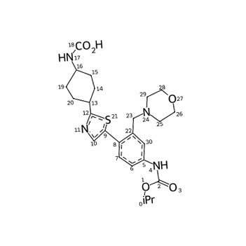 CC(C)OC(=O)Nc1ccc(-c2cnc(C3CCC(NC(=O)O)CC3)s2)c(CN2CCOCC2)c1